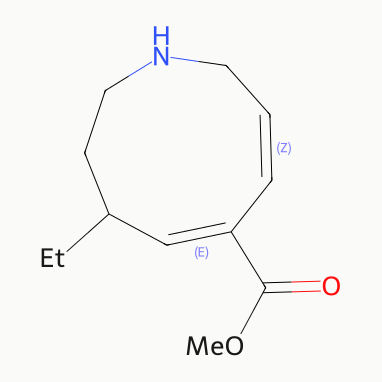 CCC1/C=C(C(=O)OC)\C=C/CNCC1